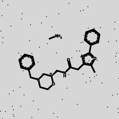 CN.Cc1oc(-c2ccccc2)nc1CC(=O)NC[C@@H]1CN(Cc2ccccc2)CCO1